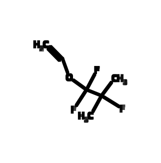 C=COC(F)(F)C(C)(C)F